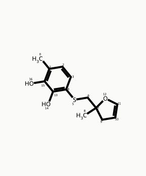 Cc1ccc(SCC2(C)CC=CO2)c(O)c1O